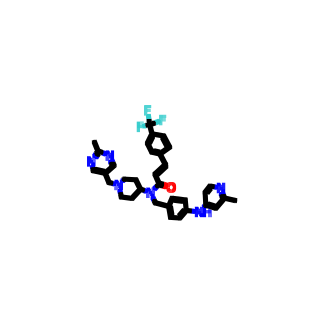 Cc1cc(Nc2ccc(CN(C(=O)/C=C/c3ccc(C(F)(F)F)cc3)C3CCN(Cc4cnc(C)nc4)CC3)cc2)ccn1